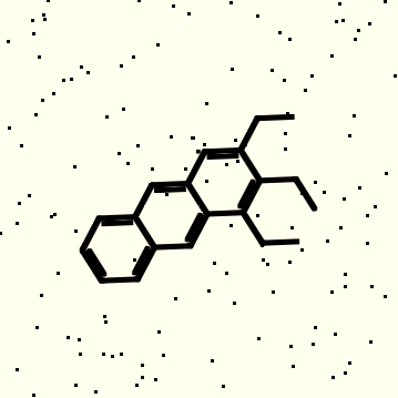 CCc1[c]c2cc3ccccc3cc2c(CC)c1CC